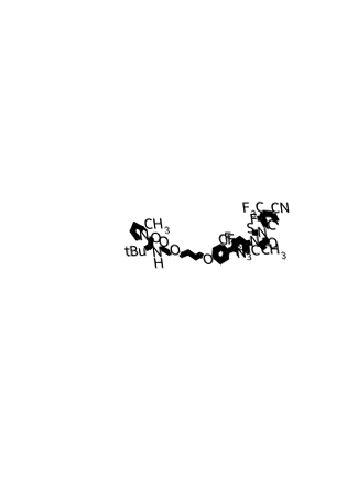 CC1CCCN1C(=O)C(NC(=O)COCCCCOc1ccc(-c2ncc(N3C(=S)N(c4ccc(C#N)c(C(F)(F)F)c4F)C(=O)C3(C)C)cc2F)c(C(F)(F)F)c1)C(C)(C)C